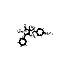 CSc1ccc(S(=O)(=O)C2(C)C(=O)N(C(C)=O)C(c3ccccc3)=C2C)cc1